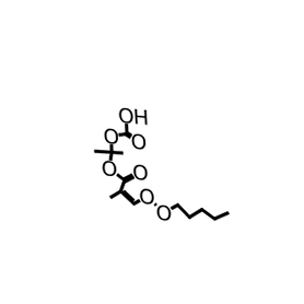 CCCCCOOC=C(C)C(=O)OC(C)(C)OC(=O)O